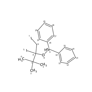 CC(C)(C)C(I)(CI)O[SiH](c1ccccc1)c1ccccc1